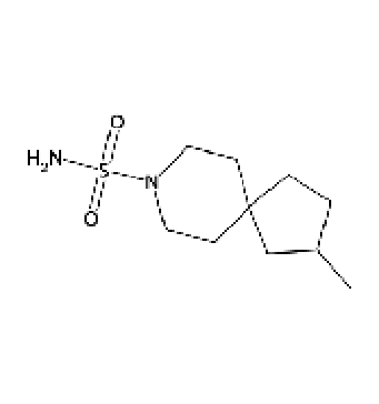 CC1CCC2(CCN(S(N)(=O)=O)CC2)C1